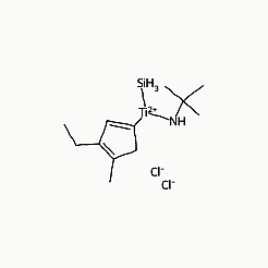 CCC1=C(C)C[C]([Ti+2]([SiH3])[NH]C(C)(C)C)=C1.[Cl-].[Cl-]